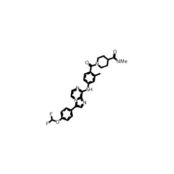 CNC(=O)C1CCN(C(=O)c2ccc(Nc3nccn4c(-c5ccc(OC(F)F)cc5)cnc34)cc2C)CC1